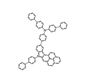 c1ccc(-c2ccc(N(c3ccc(-c4ccccc4)cc3)c3ccc(-c4ccc5c(c4)c4c6ccc7cccc8ccc(cc4n5-c4ccc(-c5ccccc5)cc4)c6c87)cc3)cc2)cc1